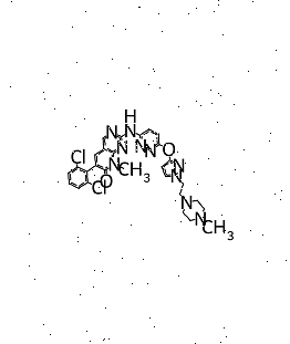 CN1CCN(CCn2ccc(Oc3ccc(Nc4ncc5cc(-c6c(Cl)cccc6Cl)c(=O)n(C)c5n4)nn3)n2)CC1